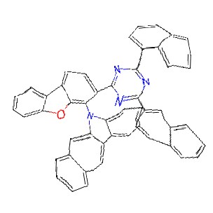 c1ccc2cc(-c3nc(-c4ccc5c(oc6ccccc65)c4-n4c5ccccc5c5cc6ccccc6cc54)nc(-c4cccc5ccccc45)n3)ccc2c1